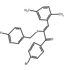 Cc1ccc(C)c(C=C(SCc2ccc(F)cc2)C(=O)c2ccc(Br)cc2)c1